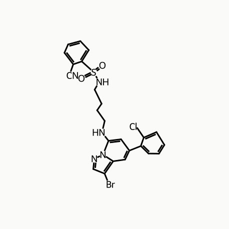 N#Cc1ccccc1S(=O)(=O)NCCCCNc1cc(-c2ccccc2Cl)cc2c(Br)cnn12